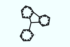 [c]1ccccc1C1c2ccccc2-c2ccccc21